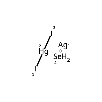 [Ag].[I][Hg][I].[SeH2]